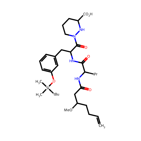 C=CCCC(CC(=O)NC(C(=O)NC(Cc1cccc(O[Si](C)(C)C(C)(C)C)c1)C(=O)N1CCCC(C(=O)O)N1)C(C)C)OC